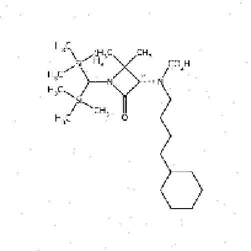 CC1(C)[C@H](N(CCCCC2CCCCC2)C(=O)O)C(=O)N1C([Si](C)(C)C)[Si](C)(C)C